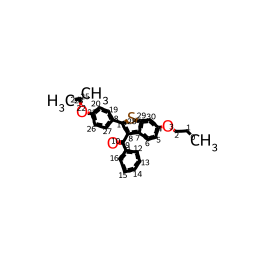 CCCOc1ccc2c(C(=O)c3ccccc3)c(-c3ccc(OC(C)C)cc3)sc2c1